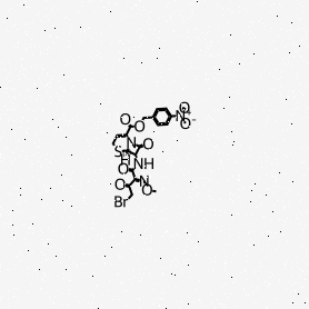 CON=C(C(=O)CBr)C(=O)NC1C(=O)N2C(C(=O)OCc3ccc([N+](=O)[O-])cc3)=CCS[C@@H]12